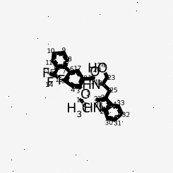 CCOc1ccc(-c2ccccc2C(F)(F)F)cc1C(=O)NC(CO)Cc1c[nH]c2ccccc12